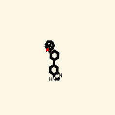 c1cc2cc(c1)C21N=c2ccc(-c3ccc4[nH]cnc4c3)cc2=N1